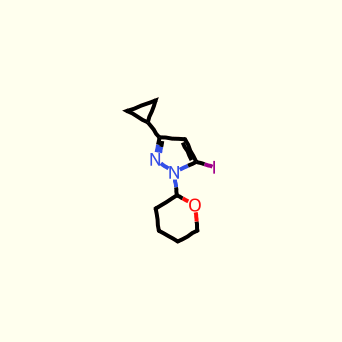 Ic1cc(C2CC2)nn1C1CCCCO1